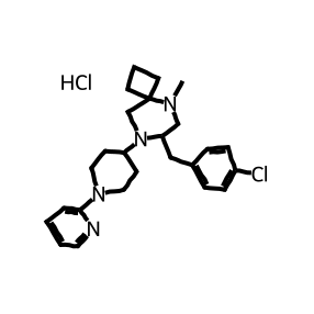 CN1CC(Cc2ccc(Cl)cc2)N(C2CCN(c3ccccn3)CC2)CC12CCC2.Cl